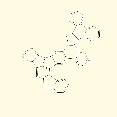 Cc1ccc2c3cc4c5c6c(cc7c8ccccc8n(c4cc3c3c([n+]2c1)C1C(C3)c2ccccc2-c2cccc[n+]21)c75)sc1ccccc16